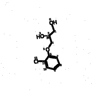 OC[C@@H](O)COc1cc[c]cc1Cl